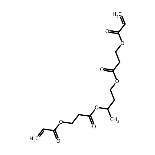 C=CC(=O)OCCC(=O)OCCC(C)OC(=O)CCOC(=O)C=C